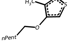 CCCCCCOc1cscc1C